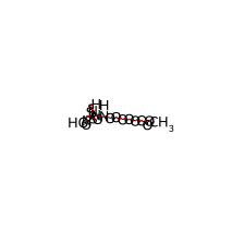 CCOC(=O)CCOCCOCCOCCOCCOCCOCCNCCC(=O)Nc1sc2c(c1-c1nc3ccccc3s1)CCN(C(=O)O)C2